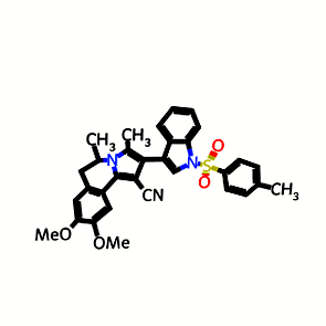 COc1cc2c(cc1OC)-c1c(C#N)c(-c3cn(S(=O)(=O)c4ccc(C)cc4)c4ccccc34)c(C)n1C(C)C2